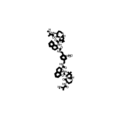 CNC(C)C(=O)N[C@H]1CCS[C@H]2CC(C)(C)[C@@H](C(=O)N[C@H]3c4ccccc4CC[C@H]3C(=O)NCc3ccc(CNC(=O)[C@@H]4CCc5ccccc5[C@@H]4NC(=O)[C@H]4N5C(=O)[C@@H](NC(=O)C(C)NC)CCS[C@H]5CC4(C)C)cc3)N2C1=O.Cl.Cl